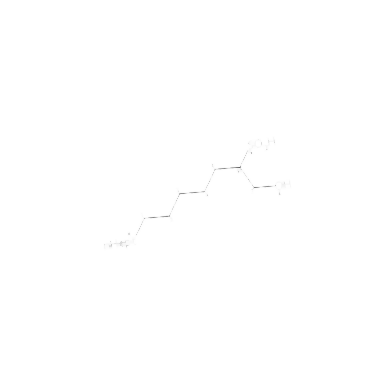 CCCCCCCCCCCCC(CO)S(=O)(=O)O